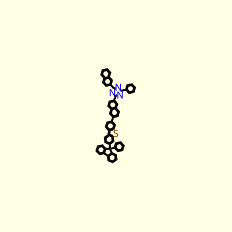 c1ccc(-c2nc(-c3ccc4ccccc4c3)nc(-c3ccc4cc(-c5ccc6c(c5)sc5cc(C7(c8ccccc8)c8ccccc8-c8ccccc87)ccc56)ccc4c3)n2)cc1